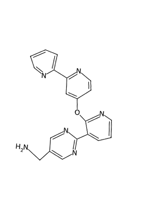 NCc1cnc(-c2cccnc2Oc2ccnc(-c3ccccn3)c2)nc1